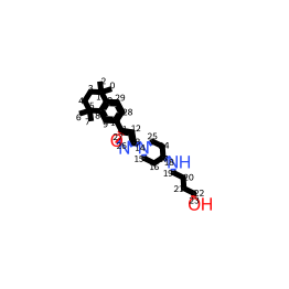 CC1(C)CCC(C)(C)c2cc(-c3cc(N4CCC(NCCCCO)CC4)no3)ccc21